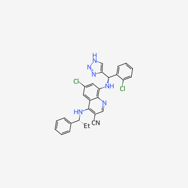 CC[C@@H](Nc1c(C#N)cnc2c(N[C@@H](c3c[nH]nn3)c3ccccc3Cl)cc(Cl)cc12)c1ccccc1